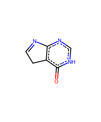 O=c1[nH]cnc2c1CC=N2